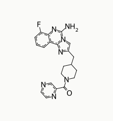 Nc1nc2c(F)cccc2c2nc(CC3CCN(C(=O)c4cnccn4)CC3)cn12